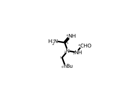 CCCCCN(NC=O)C(=N)N